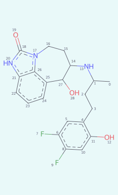 CC(CCc1cc(F)c(F)cc1O)NC1CCn2c(=O)[nH]c3cccc(c32)C1O